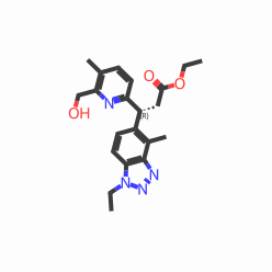 CCOC(=O)C[C@@H](c1ccc(C)c(CO)n1)c1ccc2c(nnn2CC)c1C